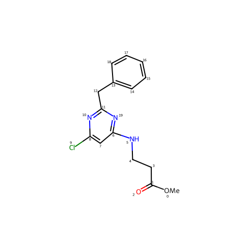 COC(=O)CCNc1cc(Cl)nc(Cc2ccccc2)n1